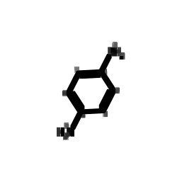 Bc1ccc(N)cc1